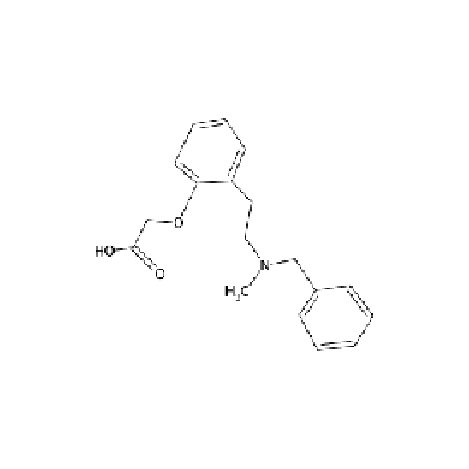 CN(CCc1ccccc1OCC(=O)O)Cc1ccccc1